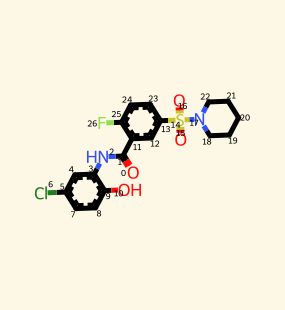 O=C(Nc1cc(Cl)ccc1O)c1cc(S(=O)(=O)N2CCCCC2)ccc1F